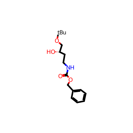 CC(C)(C)OC[C@@H](O)CCNC(=O)OCc1ccccc1